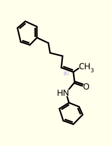 C/C(=C\CCCc1ccccc1)C(=O)Nc1ccccc1